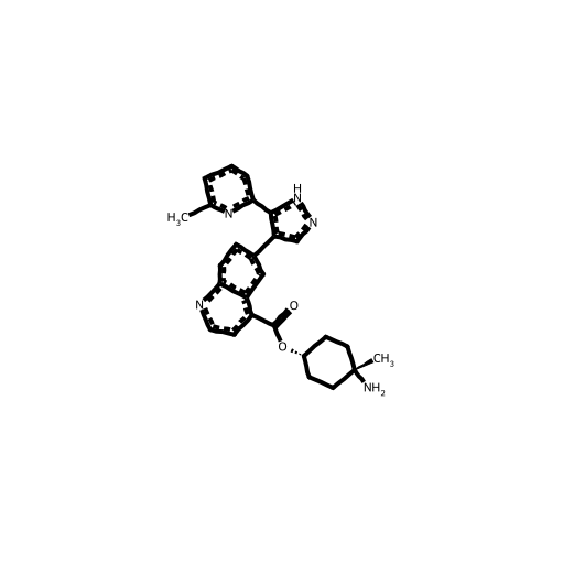 Cc1cccc(-c2[nH]ncc2-c2ccc3nccc(C(=O)O[C@H]4CC[C@@](C)(N)CC4)c3c2)n1